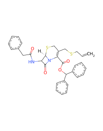 C=CCSCC1=C(C(=O)OC(c2ccccc2)c2ccccc2)N2C(=O)C(NC(=O)Cc3ccccc3)[C@H]2SC1